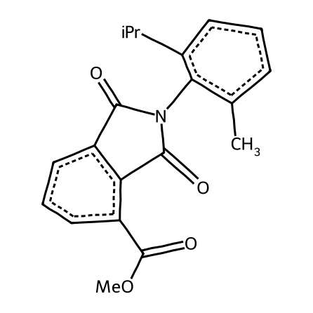 COC(=O)c1cccc2c1C(=O)N(c1c(C)cccc1C(C)C)C2=O